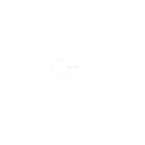 CCCCCCOc1cccc(C(=O)O)c1OCCCCCC